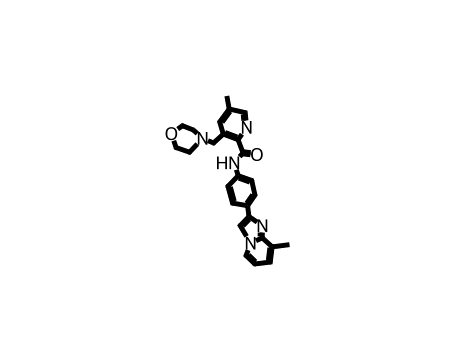 Cc1cnc(C(=O)Nc2ccc(-c3cn4cccc(C)c4n3)cc2)c(CN2CCOCC2)c1